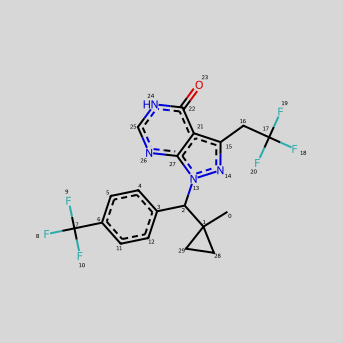 CC1(C(c2ccc(C(F)(F)F)cc2)n2nc(CC(F)(F)F)c3c(=O)[nH]cnc32)CC1